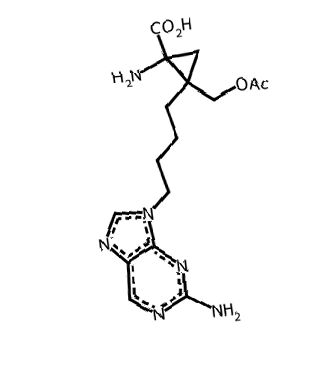 CC(=O)OCC1(CCCCn2cnc3cnc(N)nc32)CC1(N)C(=O)O